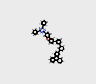 C1=Cc2c(c3cc(C4=CCCC(c5cccc(-c6ccc7oc8cc(-c9nc(-c%10ccccc%10)nc(-c%10ccccc%10)n9)ccc8c7c6)c5)=C4)ccc3c3ccccc23)CC1